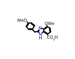 COc1ccc(Cc2nc3c(OC)ccc(C(=O)O)c3[nH]2)cc1